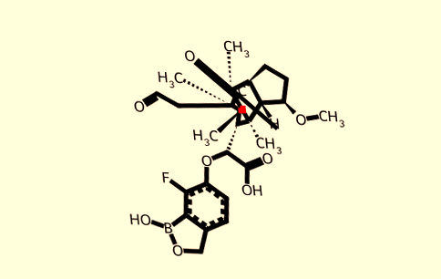 CO[C@@H]1CC[C@@]23CC[C@@H](C)[C@](C)([C@H](C(Oc4ccc5c(c4F)B(O)OC5)C(=O)O)C[C@@](C)(CC=O)C(=O)[C@@H]2C)[C@@H]13